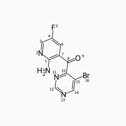 Nc1ncc(F)cc1C(=O)c1ncncc1Br